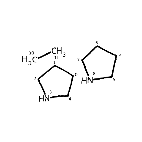 C1CCNC1.C1CCNC1.CC